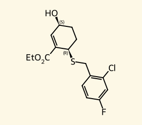 CCOC(=O)C1=C[C@@H](O)CC[C@H]1SCc1ccc(F)cc1Cl